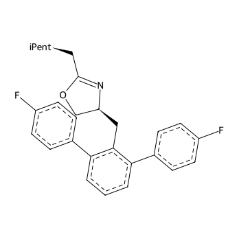 CCC[C@H](C)CC1=N[C@@H](Cc2c(-c3ccc(F)cc3)cccc2-c2ccc(F)cc2)CO1